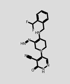 N#Cc1c(N2CCC(NCc3ccccc3C(F)F)=C(N=N)C2)cn[nH]c1=O